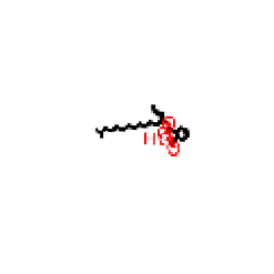 CCCC(CCCCCCCCCCC(C)C)OC(=O)C1CC=CCC1C(=O)O